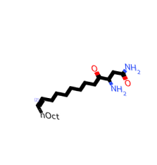 CCCCCCCC/C=C\CCCCCCCC(=O)C(N)CC(N)=O